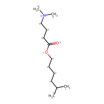 CC(C)CCCCOC(=O)CCCN(C)C